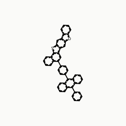 c1ccc(-c2c3ccccc3c(-c3ccc(-c4cc5c6cc7oc8ccccc8c7cc6sc5c5ccccc45)cc3)c3ccccc23)cc1